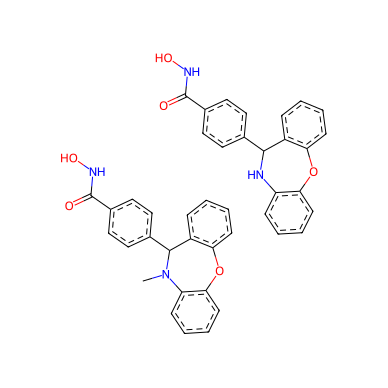 CN1c2ccccc2Oc2ccccc2C1c1ccc(C(=O)NO)cc1.O=C(NO)c1ccc(C2Nc3ccccc3Oc3ccccc32)cc1